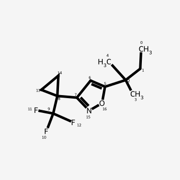 CCC(C)(C)c1cc(C2(C(F)(F)F)CC2)no1